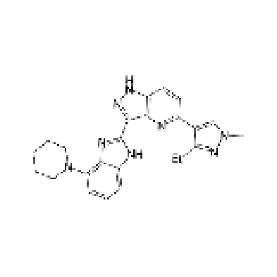 CCc1nn(C)cc1-c1ccc2[nH]nc(-c3nc4c(N5CCCCC5)cccc4[nH]3)c2n1